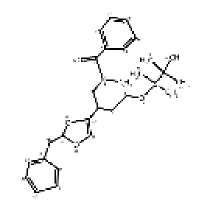 CN(CC(CCO[Si](C)(C)C(C)(C)C)C1=COC(Cc2ccccc2)O1)C(=O)c1ccccc1